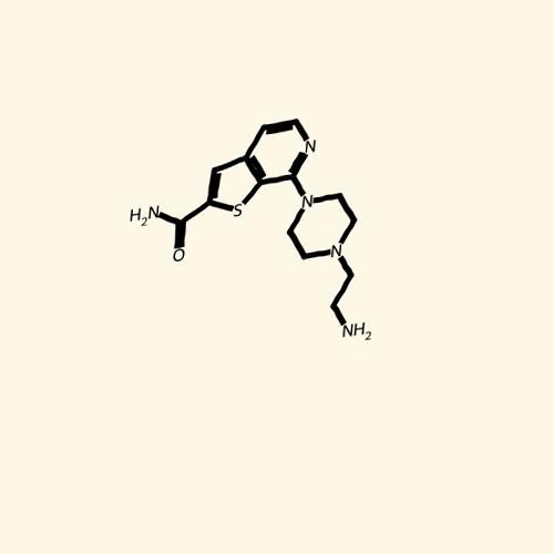 NCCN1CCN(c2nccc3cc(C(N)=O)sc23)CC1